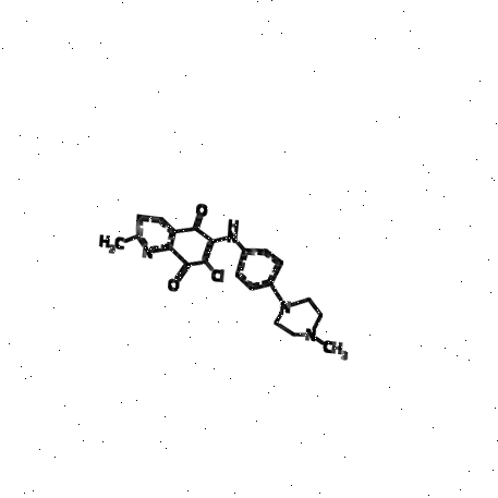 Cc1ccc2c(n1)C(=O)C(Cl)=C(Nc1ccc(N3CCN(C)CC3)cc1)C2=O